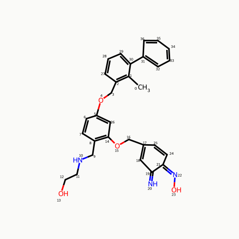 Cc1c(COc2ccc(CNCCO)c(OCC3=CC(=N)/C(=N\O)C=C3)c2)cccc1-c1ccccc1